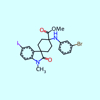 COC(=O)C1(Nc2cccc(Br)c2)CCC2(CC1)C(=O)N(C)c1ccc(I)cc12